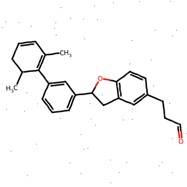 CC1=C(c2cccc(C3Cc4cc(CCC=O)ccc4O3)c2)C(C)CC=C1